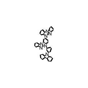 c1cc(-n2c3ccccc3c3ccccc32)cc(-n2c3ccc(-n4c5ccccc5n5c6ccccc6nc45)cc3n3c4ccccc4nc23)c1